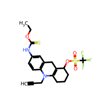 C#CCN1C2=C(Cc3cc(NC(=S)OCC)ccc31)C(OS(=O)(=O)C(F)(F)F)CCC2